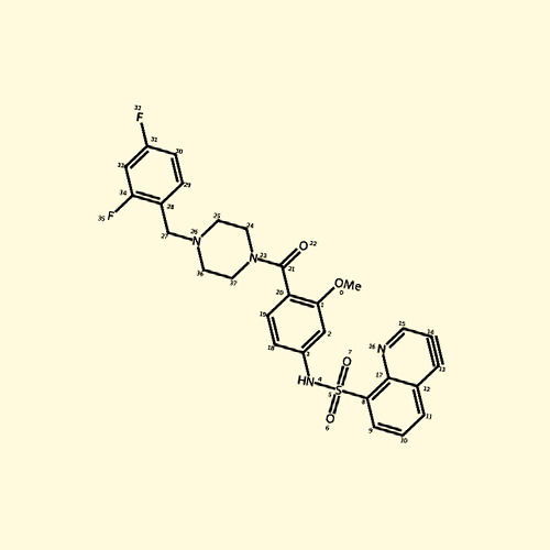 COc1cc(NS(=O)(=O)c2cccc3c#ccnc23)ccc1C(=O)N1CCN(Cc2ccc(F)cc2F)CC1